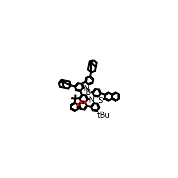 CC(C)(C)c1ccc(N2c3cc4c(c5c3B(c3ccc6c(sc7cc8ccccc8cc76)c32)n2c3ccc(C67CC8CC(CC(C8)C6)C7)cc3c3cc(C67CC8CC(CC(C8)C6)C7)cc-5c32)C(C)(C)c2ccccc2-4)c(-c2ccccc2)c1